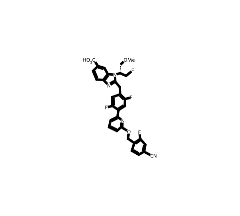 COC[C@H](CF)n1c(Cc2cc(F)c(-c3cccc(OCc4ccc(C#N)cc4F)n3)cc2F)nc2ccc(C(=O)O)cc21